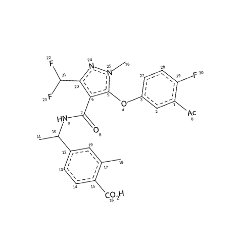 CC(=O)c1cc(Oc2c(C(=O)NC(C)c3ccc(C(=O)O)c(C)c3)c(C(F)F)nn2C)ccc1F